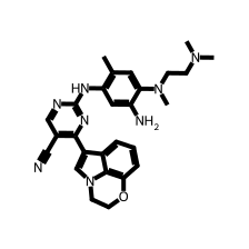 Cc1cc(N(C)CCN(C)C)c(N)cc1Nc1ncc(C#N)c(-c2cn3c4c(cccc24)OCC3)n1